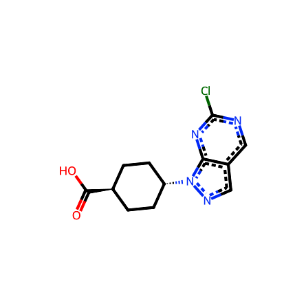 O=C(O)[C@H]1CC[C@H](n2ncc3cnc(Cl)nc32)CC1